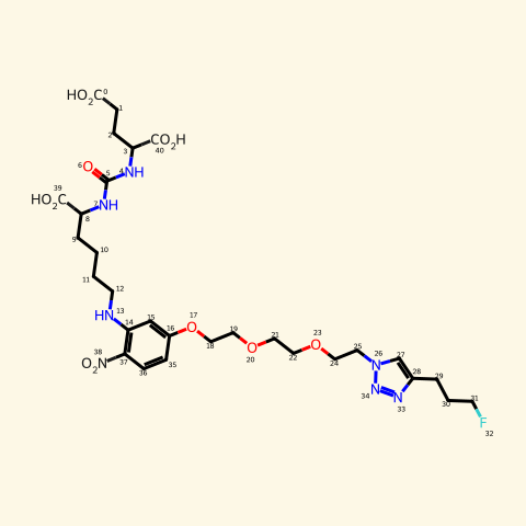 O=C(O)CCC(NC(=O)NC(CCCCNc1cc(OCCOCCOCCn2cc(CCCF)nn2)ccc1[N+](=O)[O-])C(=O)O)C(=O)O